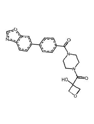 O=C(c1ccc(-c2ccc3ncoc3c2)cc1)N1CCN(C(=O)C2(O)COC2)CC1